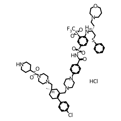 C[C@@]1(CN2CCN(S(=O)(=O)C3CCNCC3)CC2)CCC(c2ccc(Cl)cc2)=C(CN2CCN(c3ccc(C(=O)NS(=O)(=O)c4ccc(N[C@H](CCN5CCCOCC5)CSc5ccccc5)c(S(=O)(=O)C(F)(F)F)c4)cc3)CC2)C1.Cl